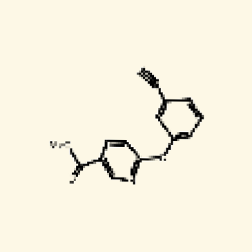 C#Cc1cccc(Oc2ccc(C(=O)OC)cn2)c1